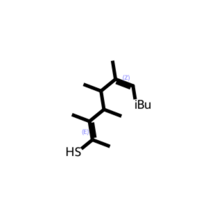 CCC(C)/C=C(/C)C(C)C(C)/C(C)=C(\C)S